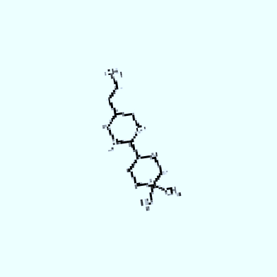 CCCC1COC(C2CCC(C)(O)CC2)OC1